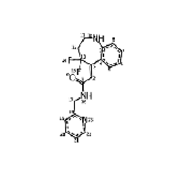 O=C(C=C1c2ccccc2NCCC1(F)F)NCc1ccccn1